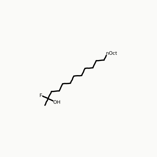 CCCCCCCCCCCCCCCCCCC(C)(O)F